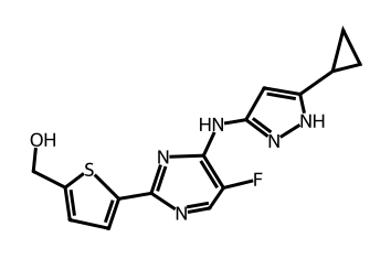 OCc1ccc(-c2ncc(F)c(Nc3cc(C4CC4)[nH]n3)n2)s1